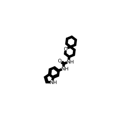 O=C(Nc1ccc2cc[nH]c2c1)NC1CCC2(CCCCC2)OC1